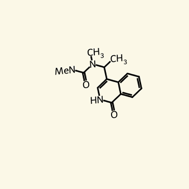 CNC(=O)N(C)C(C)c1c[nH]c(=O)c2ccccc12